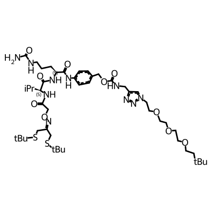 CC(C)[C@H](NC(=O)CON=C(CSC(C)(C)C)CSC(C)(C)C)C(=O)N[C@@H](CCCNC(N)=O)C(=O)Nc1ccc(COC(=O)NCc2cn(CCOCCOCCOCCC(C)(C)C)nn2)cc1